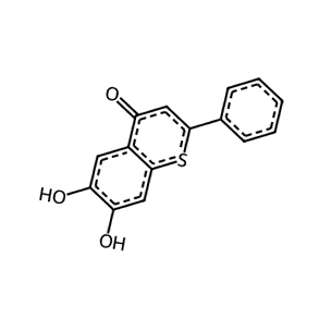 O=c1cc(-c2ccccc2)sc2cc(O)c(O)cc12